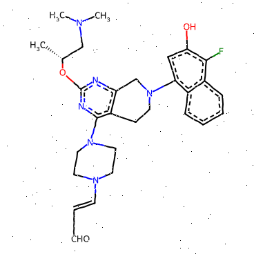 C[C@H](CN(C)C)Oc1nc2c(c(N3CCN(C=CC=O)CC3)n1)CCN(c1cc(O)c(F)c3ccccc13)C2